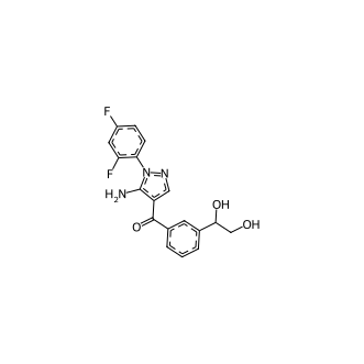 Nc1c(C(=O)c2cccc(C(O)CO)c2)cnn1-c1ccc(F)cc1F